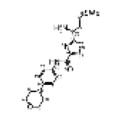 CSCC[C@H](N)c1nc(C(=O)Nc2ccc(N3CCOCC3)cc2)co1